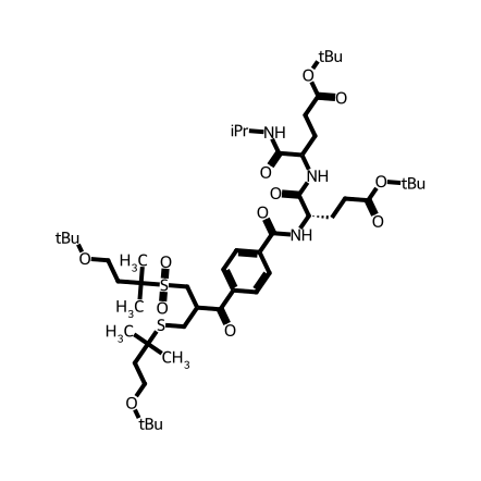 CC(C)NC(=O)C(CCC(=O)OC(C)(C)C)NC(=O)[C@H](CCC(=O)OC(C)(C)C)NC(=O)c1ccc(C(=O)C(CSC(C)(C)CCOC(C)(C)C)CS(=O)(=O)C(C)(C)CCOC(C)(C)C)cc1